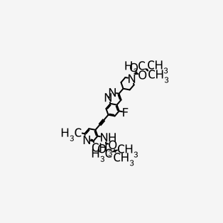 Cc1cc(C#Cc2cc(F)c3cc(C4CCN(C(=O)OC(C)(C)C)CC4)nnc3c2)c(NC(=O)OC(C)(C)C)c(C)n1